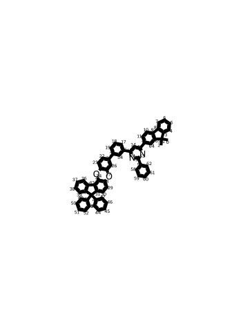 CC1(C)c2ccccc2-c2ccc(-c3cc(-c4cccc(-c5ccc6c(c5)Oc5ccc7c(c5O6)-c5ccccc5C7(c5ccccc5)c5ccccc5)c4)nc(-c4ccccc4)n3)cc21